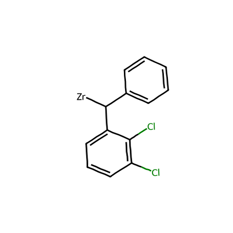 Clc1cccc([CH]([Zr])c2ccccc2)c1Cl